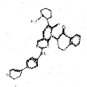 CN1CCCCC1c1cc2cnc(Nc3ccc(C4=CCNCC4)cc3)nc2n(C2CSc3ccccc3C2=O)c1=O